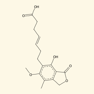 COc1c(C)c2c(c(O)c1CCC=CCCC(=O)O)C(=O)OC2